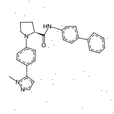 Cn1nccc1-c1ccc(N2CCC[C@H]2C(=O)Nc2ccc(-c3ccccc3)cc2)cc1